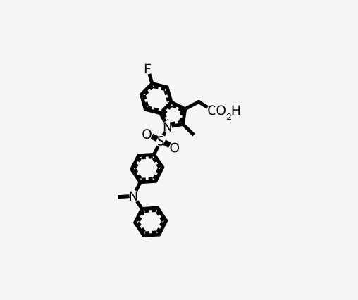 Cc1c(CC(=O)O)c2cc(F)ccc2n1S(=O)(=O)c1ccc(N(C)c2ccccc2)cc1